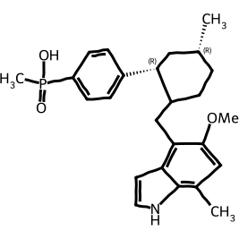 COc1cc(C)c2[nH]ccc2c1CC1CC[C@@H](C)C[C@H]1c1ccc(P(C)(=O)O)cc1